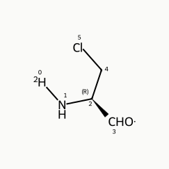 [2H]N[C@H]([C]=O)CCl